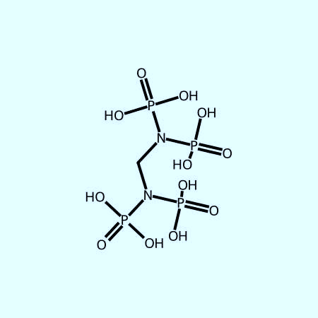 O=P(O)(O)N(CN(P(=O)(O)O)P(=O)(O)O)P(=O)(O)O